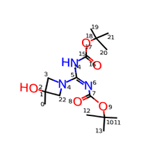 CC1(O)CN(/C(=N\C(=O)OC(C)(C)C)NC(=O)OC(C)(C)C)C1